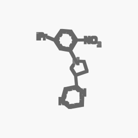 CC(C)c1ccc([N+](=O)[O-])c(N2CCC(c3cnccn3)C2)c1